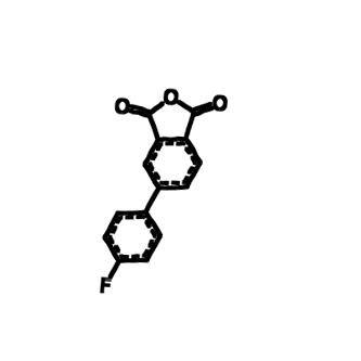 O=C1OC(=O)c2cc(-c3ccc(F)cc3)ccc21